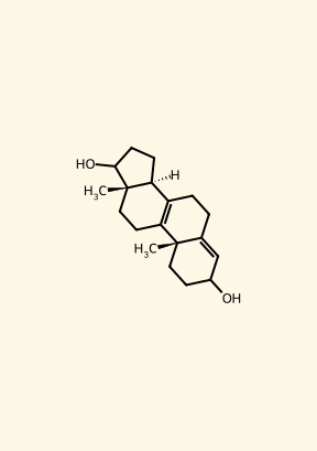 C[C@]12CCC(O)C=C1CCC1=C2CC[C@]2(C)C(O)CC[C@@H]12